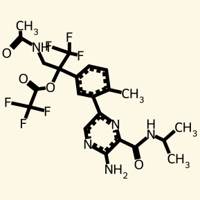 CC(=O)NCC(OC(=O)C(F)(F)F)(c1ccc(C)c(-c2cnc(N)c(C(=O)NC(C)C)n2)c1)C(F)(F)F